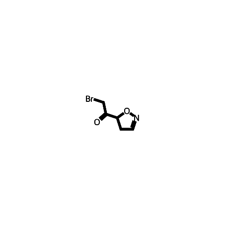 O=C(CBr)C1CC=NO1